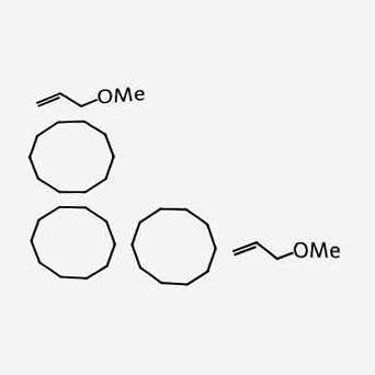 C1CCCCCCCCC1.C1CCCCCCCCC1.C1CCCCCCCCC1.C=CCOC.C=CCOC